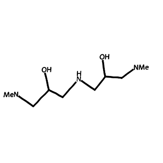 CNCC(O)CNCC(O)CNC